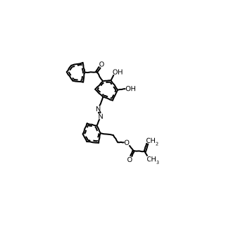 C=C(C)C(=O)OCCc1ccccc1N=Nc1cc(O)c(O)c(C(=O)c2ccccc2)c1